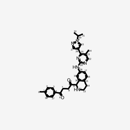 Cc1ccc(C(=O)CCC(=O)C2NCCc3ccc(Nc4ncc(C)c(-c5cnn(C(C)C)c5)n4)cc32)cc1